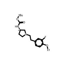 CCOc1ccc(CCN2CC[C@@H](NC(=O)OC(C)(C)C)C2)cc1F